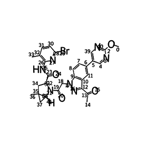 COc1ncc(-c2ccc3c(c2)c(C(C)=O)nn3CC(=O)N2[C@H](C(=O)Nc3nc(Br)ccc3C)CC3(C)C[C@@H]23)cn1